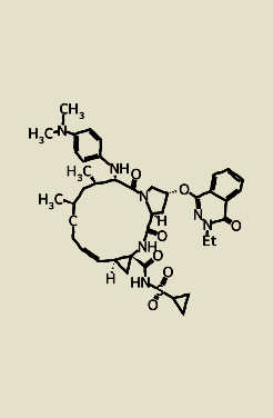 CCn1nc(O[C@@H]2C[C@H]3C(=O)N[C@]4(C(=O)NS(=O)(=O)C5CC5)C[C@H]4/C=C\CC[C@@H](C)C[C@@H](C)[C@H](Nc4ccc(N(C)C)cc4)C(=O)N3C2)c2ccccc2c1=O